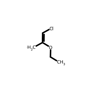 [CH2]/C(=C/Cl)OCC